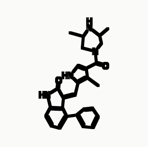 Cc1c(C(=O)N2CC(C)NC(C)C2)c[nH]c1C=C1C(=O)Nc2cccc(-c3ccccc3)c21